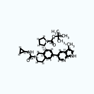 Cc1c[nH]c2ncc(-c3cc4c(c([C@@H]5CCCN5C(=O)OC(C)(C)C)c3)CN(C(=O)NC3CC3)CC4)cc12